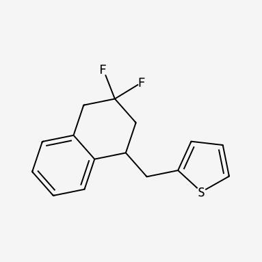 FC1(F)Cc2ccccc2C(Cc2cccs2)C1